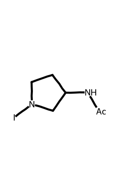 CC(=O)NC1CCN(I)C1